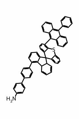 Nc1ccc(-c2ccc(-c3cccc4c3C3C=CC=CC3C43c4ccccc4Sc4c(-c5c6ccccc6c(-c6ccccc6)c6ccccc56)cccc43)cc2)cc1